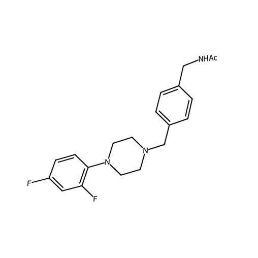 CC(=O)NCc1ccc(CN2CCN(c3ccc(F)cc3F)CC2)cc1